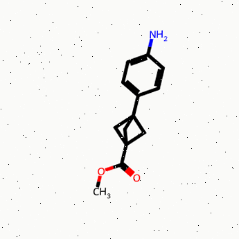 COC(=O)C12CC(c3ccc(N)cc3)(C1)C2